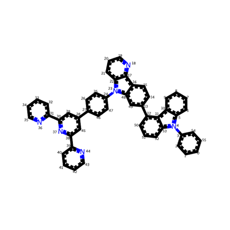 c1ccc(-n2c3ccccc3c3c(-c4ccc5c6ncccc6n(-c6ccc(-c7cc(-c8ccccn8)nc(-c8ccccn8)c7)cc6)c5c4)cccc32)cc1